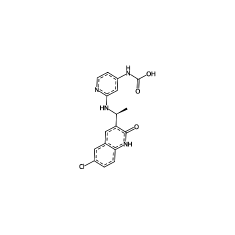 C[C@H](Nc1cc(NC(=O)O)ccn1)c1cc2cc(Cl)ccc2[nH]c1=O